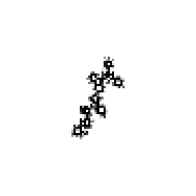 c1ccc(-c2nc(-c3ccccc3)nc(-n3c4ccccc4c4cc(-c5ccc6c(c5)c5ccccc5n6-c5cncc(-c6ccc7sc8cccnc8c7n6)c5)ccc43)n2)cc1